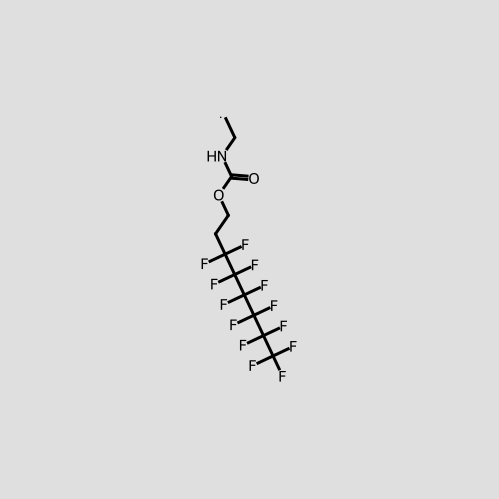 [CH2]CNC(=O)OCCC(F)(F)C(F)(F)C(F)(F)C(F)(F)C(F)(F)C(F)(F)F